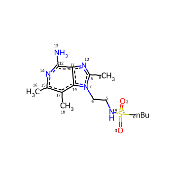 CCCCS(=O)(=O)NCCn1c(C)nc2c(N)nc(C)c(C)c21